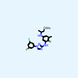 COCC(C)Nc1cc(C)c(F)c(Nc2ncn(-c3cc(F)cc(F)c3)n2)c1